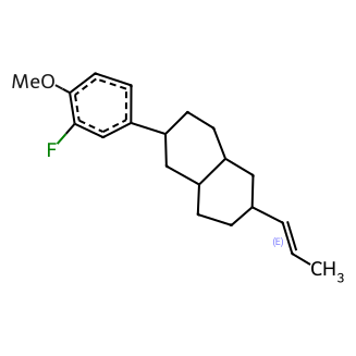 C/C=C/C1CCC2CC(c3ccc(OC)c(F)c3)CCC2C1